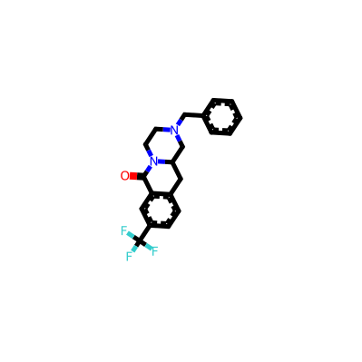 O=C1c2cc(C(F)(F)F)ccc2CC2CN(Cc3ccccc3)CCN12